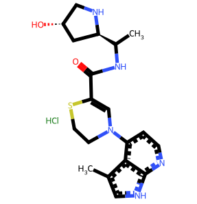 Cc1c[nH]c2nccc(N3C=C(C(=O)NC(C)[C@H]4C[C@H](O)CN4)SCC3)c12.Cl